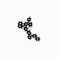 c1ccc(-c2cccc(-n3c4ccccc4c4cc(-c5ccc6c(c5)c5c7c8ccccc8n(-c8ccccc8)c7ccc5n6-c5cccc6ccccc56)ccc43)c2)cc1